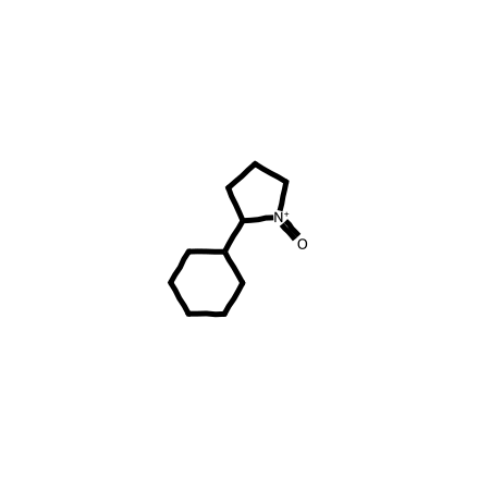 O=[N+]1CCCC1C1CCCCC1